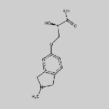 CN1Cc2ccc(OC[C@@H](O)C(=O)O)cc2C1